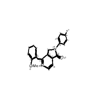 COc1ccccc1-c1nccc2c1CN(c1ccc(F)cc1)C2=O